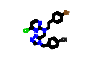 N#Cc1ccc(Cn2cnnc2CN(CCc2ccc(Br)cc2)c2nccc(Cl)n2)cc1